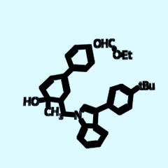 CC(C)(C)c1ccc(-c2cn(CC3C=C(c4ccccc4)C=CC3(C)O)c3ccccc23)cc1.CCOC=O